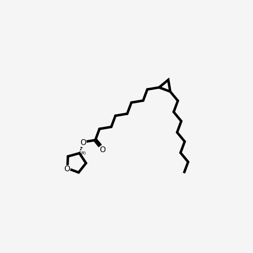 CCCCCCCCC1CC1CCCCCCCC(=O)O[C@@H]1CCOC1